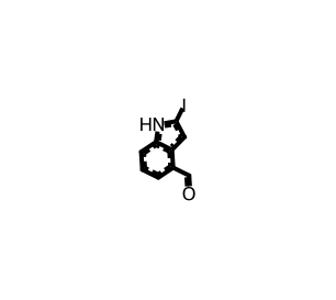 O=Cc1cccc2[nH]c(I)cc12